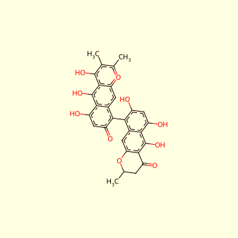 Cc1oc2cc3c(-c4c(O)cc(O)c5c(O)c6c(cc45)OC(C)CC6=O)c(=O)cc(O)c3c(O)c2c(O)c1C